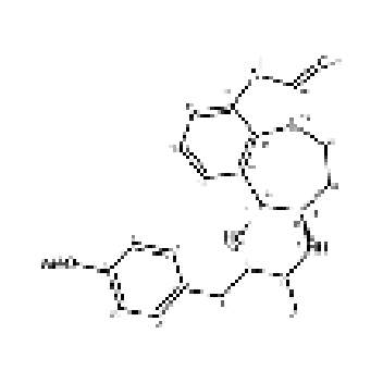 COc1ccc(CCC(C)N[C@@H]2CCn3c(=O)[nH]c4cccc(c43)[C@H]2O)cc1